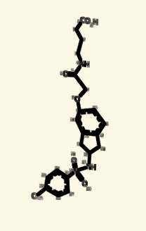 O=C(O)CCCNC(=O)COc1ccc2c(c1)CC(NS(=O)(=O)c1ccc(Cl)cc1)C2